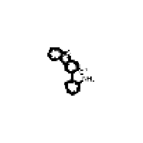 Cc1cc2sc3ccccc3c2cc1-c1ccccc1N